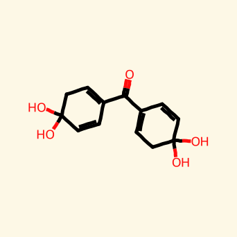 O=C(C1=CCC(O)(O)C=C1)C1=CCC(O)(O)C=C1